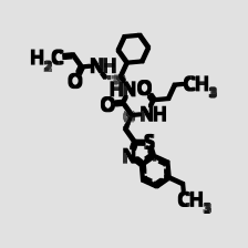 C=CC(=O)NC[C@@H](NC(=O)[C@H](Cc1nc2ccc(CC)cc2s1)NC(=O)CCC)C1CCCCC1